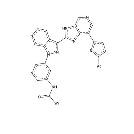 CC(=O)c1ccc(-c2cncc3[nH]c(-c4nn(-c5cncc(NC(=O)C(C)C)c5)c5cnccc45)nc23)s1